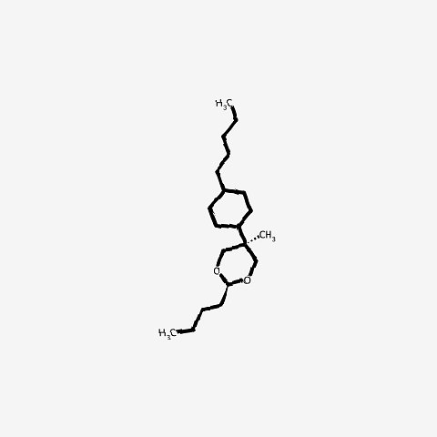 CCCCCC1CCC([C@]2(C)CO[C@H](CCCC)OC2)CC1